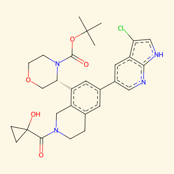 CC(C)(C)OC(=O)N1CCOC[C@H]1c1cc(-c2cnc3[nH]cc(Cl)c3c2)cc2c1CN(C(=O)C1(O)CC1)CC2